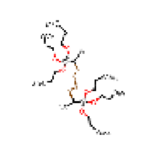 CCC(SSSSC(CC)[Si](OCCOC)(OCCOC)OCCOC)[Si](OCCOC)(OCCOC)OCCOC